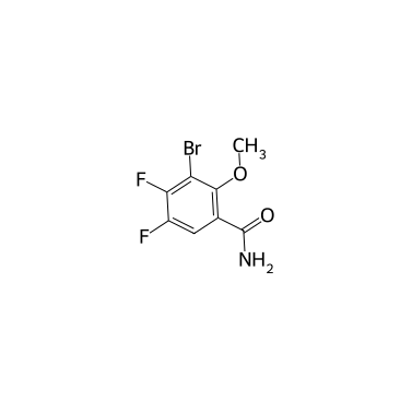 COc1c(C(N)=O)cc(F)c(F)c1Br